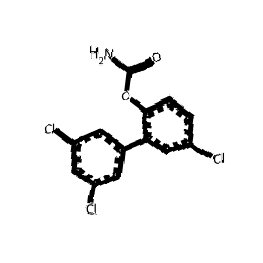 NC(=O)Oc1ccc(Cl)cc1-c1cc(Cl)cc(Cl)c1